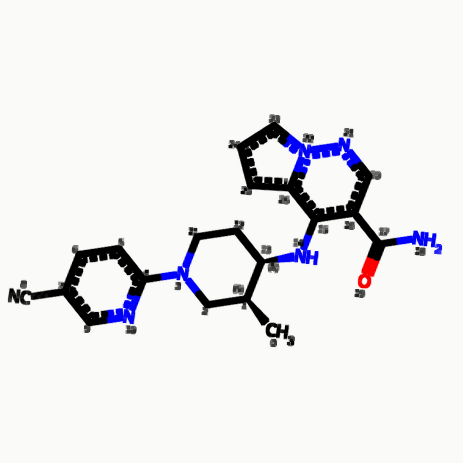 C[C@H]1CN(c2ccc(C#N)cn2)CC[C@H]1Nc1c(C(N)=O)cnn2cccc12